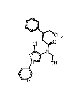 CCN(C(=O)CC(SC)c1ccccc1)c1cn(-c2cccnc2)nc1Cl